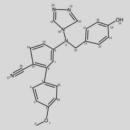 COc1ccc(-c2cc(N(Cc3ccc(O)cc3)n3cnnc3)ccc2C#N)cc1